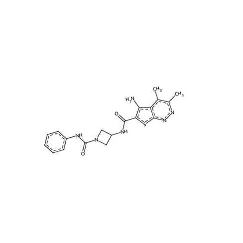 Cc1nnc2sc(C(=O)NC3CN(C(=O)Nc4ccccc4)C3)c(N)c2c1C